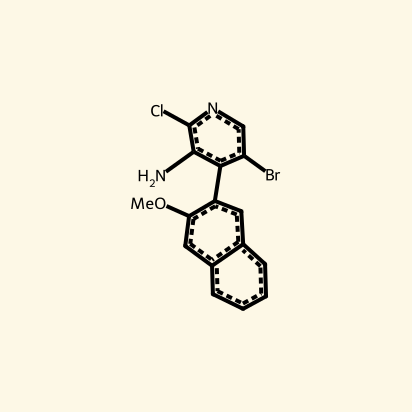 COc1cc2ccccc2cc1-c1c(Br)cnc(Cl)c1N